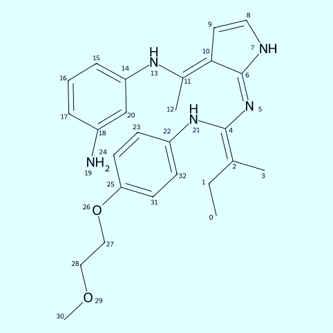 CC/C(C)=C(/N=C1/NC=C/C1=C(/C)Nc1cccc(N)c1)Nc1ccc(OCCOC)cc1